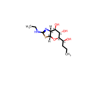 CCC[C@H](O)[C@H]1O[C@@H]2SC(NCC)=N[C@@H]2[C@@H](O)[C@@H]1O